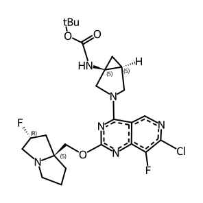 CC(C)(C)OC(=O)N[C@@]12C[C@H]1CN(c1nc(OC[C@@]34CCCN3C[C@H](F)C4)nc3c(F)c(Cl)ncc13)C2